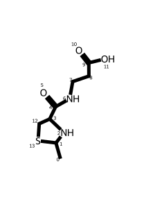 CC1NC(C(=O)NCCC(=O)O)CS1